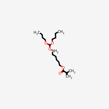 C=C(C)C(=O)OCCCCC[SiH2]OC(OCCCC)OCCCC